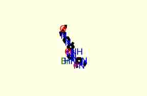 CCOC1CCN(C2CCN(c3cc(OC)c(Nc4ncc(Br)c(Nc5ccc6nccnc6c5P(C)C)n4)cc3C)CC2)C1